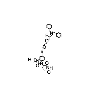 Cn1c(=O)n(C2CCC(=O)NC2=O)c2ccc(C#CCOCCOCC(F)CN(Cc3ccccc3)Cc3ccccc3)cc21